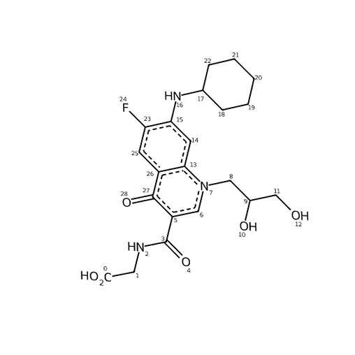 O=C(O)CNC(=O)c1cn(CC(O)CO)c2cc(NC3CCCCC3)c(F)cc2c1=O